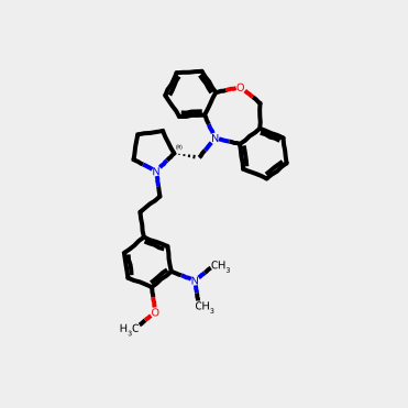 COc1ccc(CCN2CCC[C@@H]2CN2c3ccccc3COc3ccccc32)cc1N(C)C